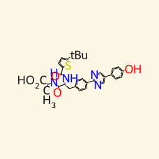 C[C@@H](NC(=O)[C@H](Cc1ccc(-c2ncc(-c3ccc(O)cc3)cn2)cc1)NC(=O)c1ccc(C(C)(C)C)s1)C(=O)O